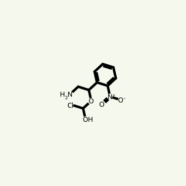 NCC(OC(O)Cl)c1ccccc1[N+](=O)[O-]